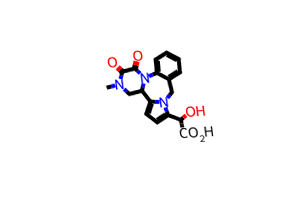 CN1CC2c3ccc(C(O)C(=O)O)n3Cc3ccccc3N2C(=O)C1=O